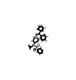 O=S(=O)(c1ccccc1)N(C1CC1)C1CCN(CC(c2ccccc2)c2ccccc2)CC1